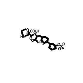 CS(=O)(=O)Oc1cccc(-c2ccc(CC(NC(=O)[C@]3(C(=O)O)CNCCCO3)C(N)=O)cc2)c1